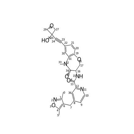 Cc1noc(C)c1Cc1ccnc(C(=O)NC2COc3ccc(C#CC4(O)COC4)cc3N(C)C2=O)c1